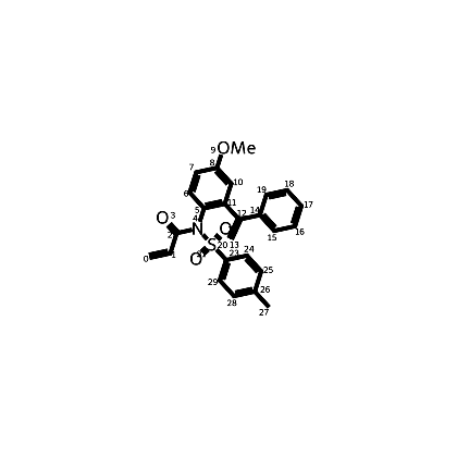 C=CC(=O)N(c1ccc(OC)cc1C(=C)c1ccccc1)S(=O)(=O)c1ccc(C)cc1